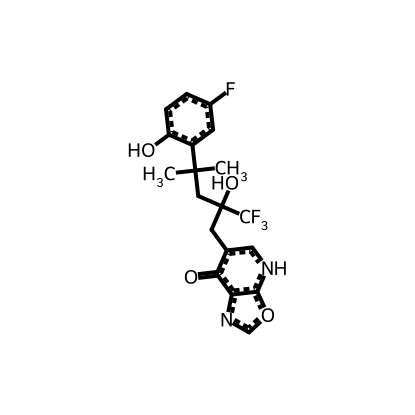 CC(C)(CC(O)(Cc1c[nH]c2ocnc2c1=O)C(F)(F)F)c1cc(F)ccc1O